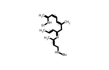 C=C(/C=C\C=C(/C)CC(/C=C/C)=N/C(C)=C\CNC(C)CC)NCC